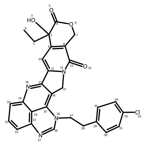 CCC1(O)C(=O)OCc2c1cc1n(c2=O)Cc2c-1nc1cccc3c1c2N(CCc1ccc(Cl)cc1)C=N3